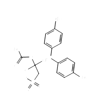 CC(C)(C)C(=O)OC(CS(=O)(=O)[O-])(C(F)(F)F)C(F)(F)F.CC(C)(C)c1ccc([I+]c2ccc(C(C)(C)C)cc2)cc1